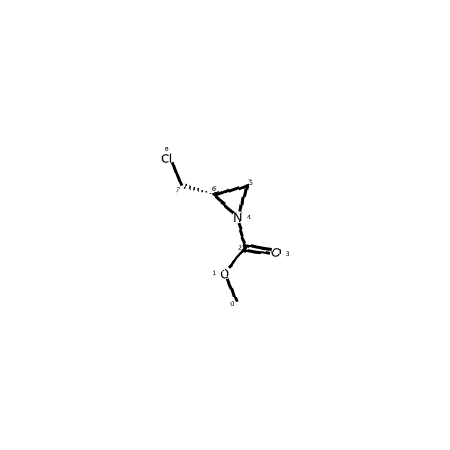 COC(=O)N1C[C@H]1CCl